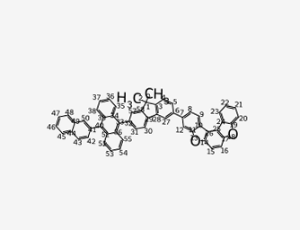 CC1(C)c2ccc(-c3ccc4c(c3)oc3ccc5oc6ccccc6c5c34)cc2-c2ccc(-c3c4ccccc4c(-c4ccc5ccccc5c4)c4ccccc34)cc21